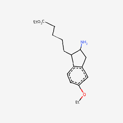 CCOC(=O)CCCCC1c2ccc(OCC)cc2CC1N